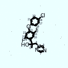 CC(O)(Cn1cncn1)c1cc(F)c(Oc2ccc(Cl)cc2)cc1F